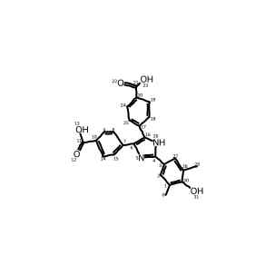 Cc1cc(-c2nc(-c3ccc(C(=O)O)cc3)c(-c3ccc(C(=O)O)cc3)[nH]2)cc(C)c1O